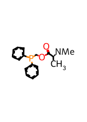 CN[C@@H](C)C(=O)OCP(c1ccccc1)c1ccccc1